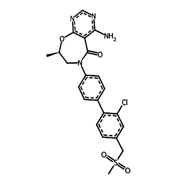 C[C@@H]1CN(c2ccc(-c3ccc(CS(C)(=O)=O)cc3Cl)cc2)C(=O)c2c(N)ncnc2O1